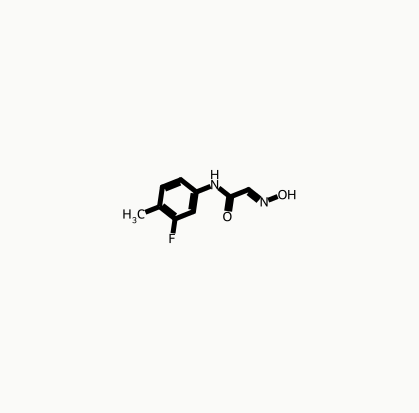 Cc1ccc(NC(=O)C=NO)cc1F